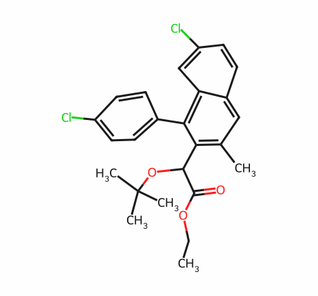 CCOC(=O)C(OC(C)(C)C)c1c(C)cc2ccc(Cl)cc2c1-c1ccc(Cl)cc1